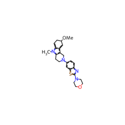 COC1C=c2c3c(n(C)c2=CC1)CCN(c1ccc2nc(N4CCOCC4)sc2c1)C3